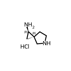 Cl.N[C@@H]1C[C@@]12CCNC2